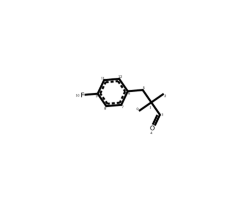 CC(C)(C=O)Cc1ccc(F)cc1